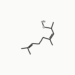 CCCOC(C)/C=C(/C)CCC=C(C)C